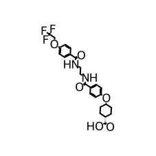 O=C(NCCNC(=O)c1ccc(O[C@H]2CC[C@@H](C(=O)O)CC2)cc1)c1ccc(OCC(F)(F)F)cc1